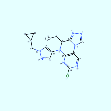 CCC1c2nncn2-c2cnc(Cl)nc2N1c1cnn(CC2CC2)c1